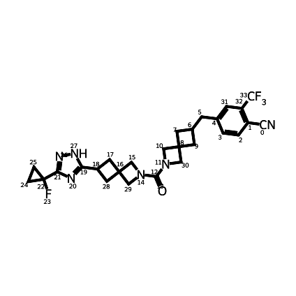 N#Cc1ccc(CC2CC3(C2)CN(C(=O)N2CC4(CC(c5nc(C6(F)CC6)n[nH]5)C4)C2)C3)cc1C(F)(F)F